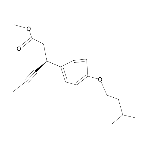 CC#C[C@@H](CC(=O)OC)c1ccc(OCCC(C)C)cc1